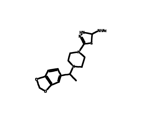 CC(=O)NC1NN=C(N2CCN(C(C)c3ccc4c(c3)OCO4)CC2)S1